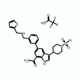 CCS(=O)(=O)N1CCC(c2c[nH]c3c(C(N)=O)cc(-c4cccc(CNCc5cccs5)c4)cc23)CC1.O=C(O)C(F)(F)F